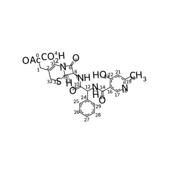 CC(=O)OCC1=C(C(=O)O)N2C(=O)[C@@H](NC(=O)C(NC(=O)c3cnc(C)cc3O)c3ccccc3)[C@H]2SC1